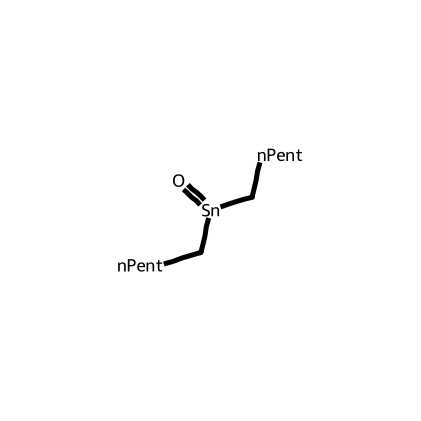 CCCCC[CH2][Sn](=[O])[CH2]CCCCC